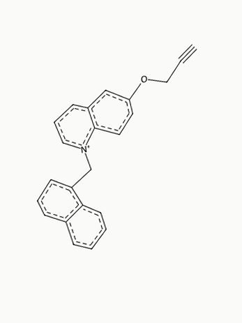 C#CCOc1ccc2c(ccc[n+]2Cc2cccc3ccccc23)c1